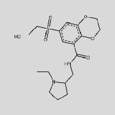 CCN1CCCC1CNC(=O)c1cc(S(=O)(=O)CC)cc2c1OCCO2.Cl